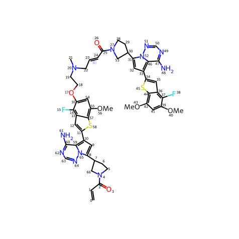 C=CC(=O)N1CCC(c2cc(-c3cc4c(F)c(OCCN(C)C/C=C/C(=O)N5CCC(c6cc(-c7cc8c(F)c(OC)cc(OC)c8s7)c7c(N)ncnn67)C5)cc(OC)c4s3)c3c(N)ncnn23)C1